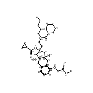 CCCCC[C@H](CC[C@]1(OC(=O)C2CC2)C[C@H]2Cc3cccc(OCC(=O)OC)c3C[C@H]2C1)OC1CCCCO1